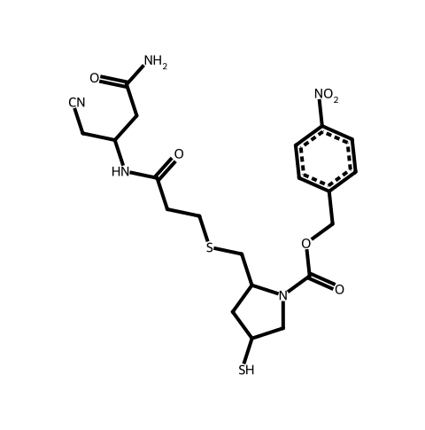 N#CCC(CC(N)=O)NC(=O)CCSCC1CC(S)CN1C(=O)OCc1ccc([N+](=O)[O-])cc1